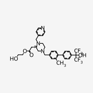 Cc1cc(CN2CCN(Cc3ccncc3)[C@H](CC(=O)OCCO)C2)ccc1-c1ccc(C(O)(C(F)(F)F)C(F)(F)F)cc1